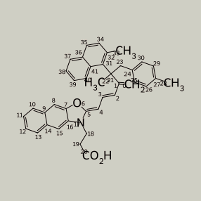 C=C(/C=C/C=C1\Oc2cc3ccccc3cc2N1CCC(=O)O)C(C)(Cc1ccc(C)cc1)c1c(C)ccc2ccccc12